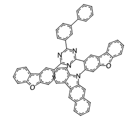 c1ccc(-c2cccc(-c3nc(-c4ccc5oc6ccccc6c5c4)nc(-c4cc5c(cc4-n4c6ccccc6c6cc7ccccc7cc64)oc4ccccc45)n3)c2)cc1